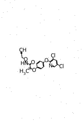 C#CCONC(=O)[C@@H](C)Oc1ccc(Oc2ncc(Cl)cc2Cl)cc1